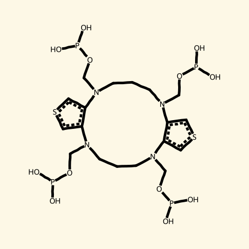 OP(O)OCN1CCCN(COP(O)O)c2cscc2N(COP(O)O)CCCN(COP(O)O)c2cscc21